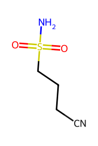 N#CCCCS(N)(=O)=O